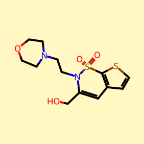 O=S1(=O)c2sccc2C=C(CO)N1CCN1CCOCC1